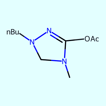 CCCCN1CN(C)C(OC(C)=O)=N1